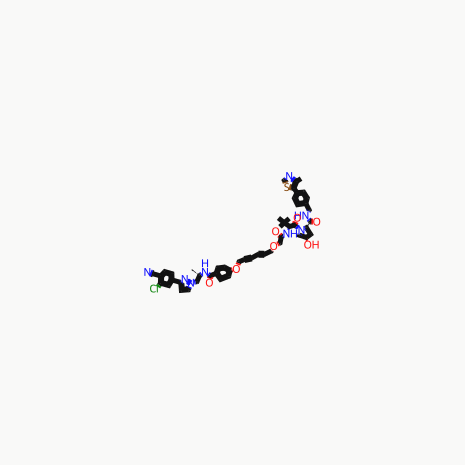 Cc1ncsc1-c1ccc(CNC(=O)[C@@H]2C[C@@H](O)CN2C(=O)[C@@H](NC(=O)COCC#CC#CCOc2ccc(C(=O)N[C@@H](C)Cn3ccc(-c4ccc(C#N)c(Cl)c4)n3)cc2)C(C)(C)C)cc1